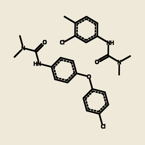 CN(C)C(=O)Nc1ccc(Oc2ccc(Cl)cc2)cc1.Cc1ccc(NC(=O)N(C)C)cc1Cl